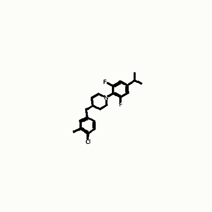 Cc1cc(CC2CCN(c3c(F)cc(C(C)C)cc3F)CC2)ccc1Cl